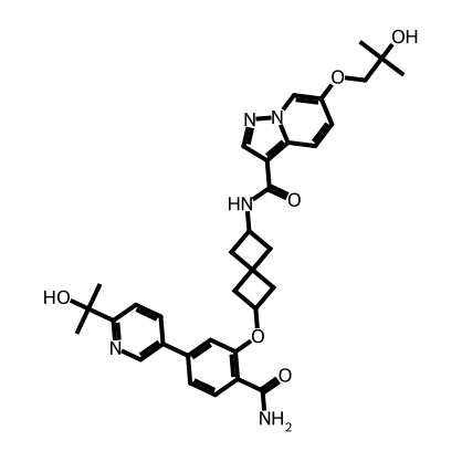 CC(C)(O)COc1ccc2c(C(=O)NC3CC4(C3)CC(Oc3cc(-c5ccc(C(C)(C)O)nc5)ccc3C(N)=O)C4)cnn2c1